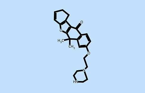 CC1(C)c2cc(OCCN3CCNCC3)ccc2C(=O)c2c1oc1c2CCC=C1